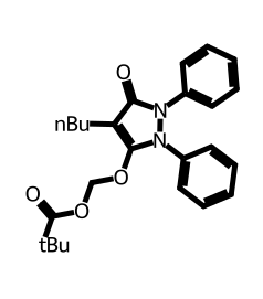 CCCCc1c(OCOC(=O)C(C)(C)C)n(-c2ccccc2)n(-c2ccccc2)c1=O